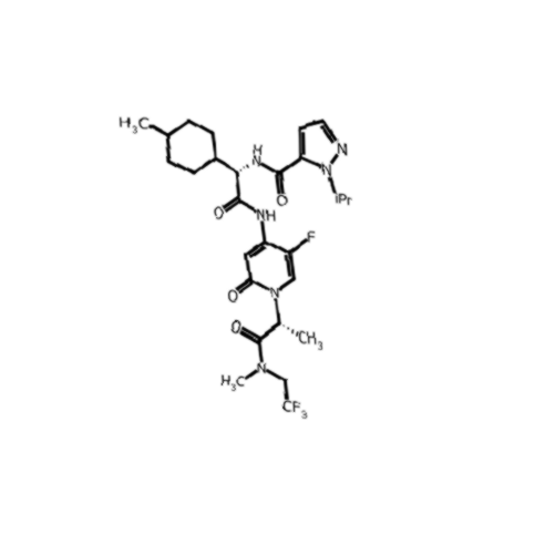 CC1CCC([C@H](NC(=O)c2ccnn2C(C)C)C(=O)Nc2cc(=O)n([C@H](C)C(=O)N(C)CC(F)(F)F)cc2F)CC1